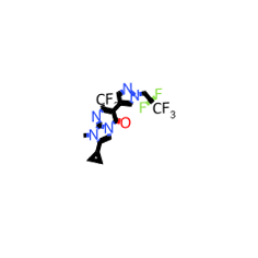 Cn1c(C2CC2)cn2c(=O)c(-c3cnn(CC(F)(F)C(F)(F)F)c3)c(C(F)(F)F)nc12